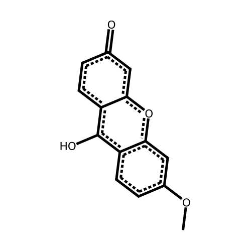 COc1ccc2c(O)c3ccc(=O)cc-3oc2c1